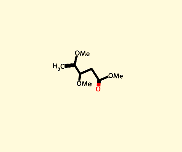 C=C(OC)C(CC(=O)OC)OC